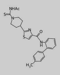 CC(=O)NC(=S)N1CCC(c2nc(C(=O)Nc3ccccc3-c3ccc(C)cc3)cs2)CC1